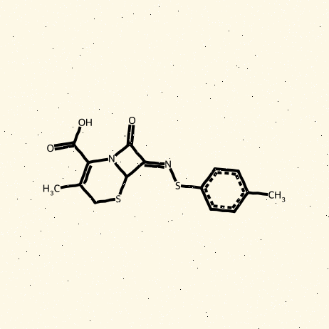 CC1=C(C(=O)O)N2C(=O)C(=NSc3ccc(C)cc3)C2SC1